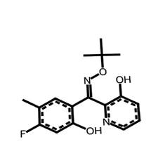 Cc1cc(C(=NOC(C)(C)C)c2ncccc2O)c(O)cc1F